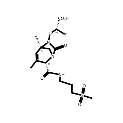 CC1=C[C@@H]2CN(C(=O)N2O[C@@H](F)C(=O)O)[C@@H]1C(=O)NCCCS(C)(=O)=O